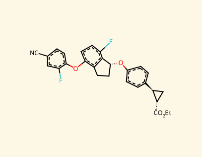 CCOC(=O)[C@H]1C[C@@H]1c1ccc(O[C@@H]2CCc3c(Oc4ccc(C#N)cc4F)ccc(F)c32)cc1